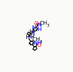 CNC(=O)c1ccc(N2CCN(Cc3ccc4c5c(c(=O)[nH]c4c3C)CCC5)[C@H]3CC[C@H]32)cn1